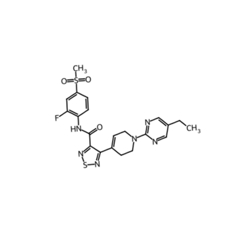 CCc1cnc(N2CC=C(c3nsnc3C(=O)Nc3ccc(S(C)(=O)=O)cc3F)CC2)nc1